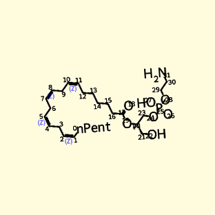 CCCCC/C=C\C/C=C\C/C=C\C/C=C\CCCCCC(=O)O[C@H](CO)COP(=O)(O)OCCN